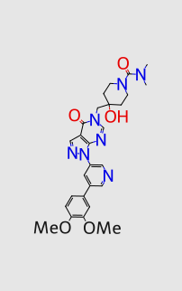 COc1ccc(-c2cncc(-n3ncc4c(=O)n(CC5(O)CCN(C(=O)N(C)C)CC5)cnc43)c2)cc1OC